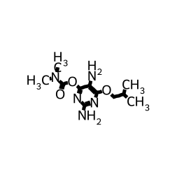 CC(C)COc1nc(N)nc(OC(=O)N(C)C)c1N